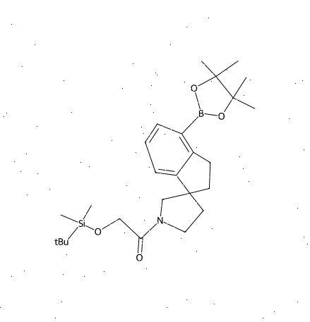 CC1(C)OB(c2cccc3c2CCC32CCN(C(=O)CO[Si](C)(C)C(C)(C)C)C2)OC1(C)C